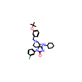 CC(C)(C)Oc1cccc(CN2CCC3(CC2)C(NC2CCCCC2)=NC(=O)N3c2cccc(F)c2)c1